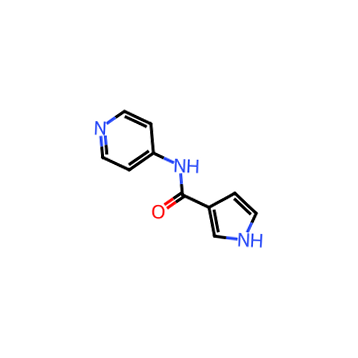 O=C(Nc1ccncc1)c1cc[nH]c1